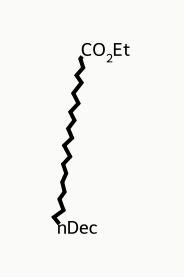 CCCCCCCCCCCCCCCCCCCCCCCCCCCCCC(=O)OCC